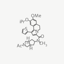 COc1cc2c(cc1OC(C)C)-c1c(-c3cccs3)cc(C(=O)N(C)C3C[C@@H]4CN(C(C)=O)C[C@@H]4C3)n1CC2